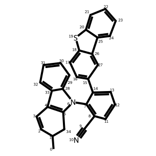 CC1C=Cc2c(n(-c3c(C#N)cccc3-c3ccc4sc5ccccc5c4c3)c3ccccc23)C1